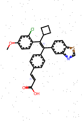 COc1ccc(/C(=C(\c2ccc(/C=C/C(=O)O)cc2)c2ccc3scnc3c2)C2CCC2)c(Cl)c1